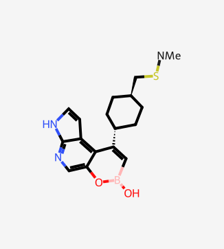 CNSC[C@H]1CC[C@H](C2=CB(O)Oc3cnc4[nH]ccc4c32)CC1